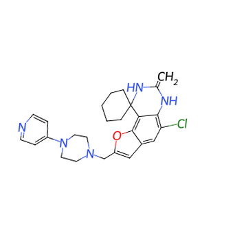 C=C1Nc2c(Cl)cc3cc(CN4CCN(c5ccncc5)CC4)oc3c2C2(CCCCC2)N1